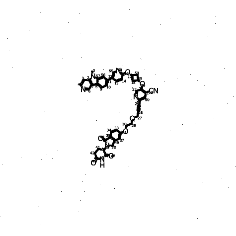 Cn1c2ccncc2c2ccc(-c3ccc(OC4CC(Oc5cnc(C#CCOCCOc6ccc7c(c6)CN(C6CCC(=O)NC6=O)C7=O)cc5C#N)C4)nc3)cc21